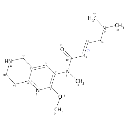 COc1nc2c(cc1N(C)C(=O)/C=C/CN(C)C)CNCC2